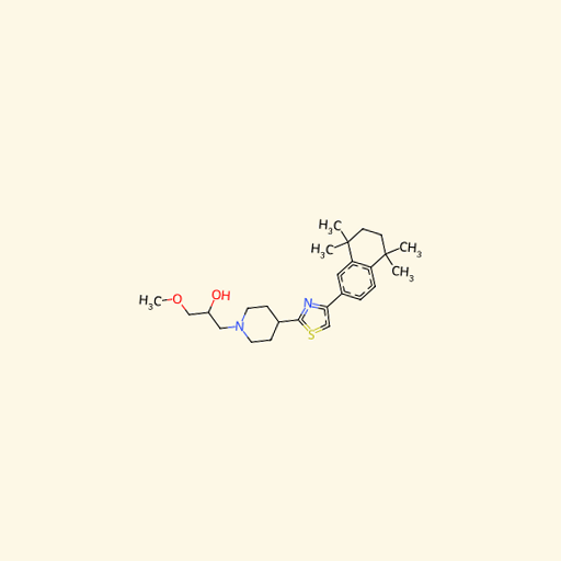 COCC(O)CN1CCC(c2nc(-c3ccc4c(c3)C(C)(C)CCC4(C)C)cs2)CC1